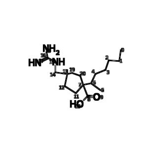 CCCCCC(C)C1(C(=O)O)CCC(CNC(=N)N)CC1